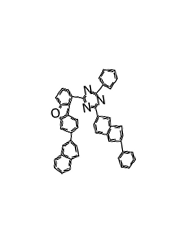 c1ccc(-c2ccc3cc(-c4nc(-c5ccccc5)nc(-c5cccc6oc7cc(-c8ccc9ccccc9c8)ccc7c56)n4)ccc3c2)cc1